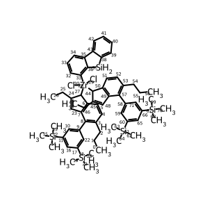 CCCc1ccc2c(c1-c1cc([Si](C)(C)C)cc([Si](C)(C)C)c1)C=C(CC)[CH]2[Zr]([Cl])([Cl])([c]1cccc2c1[SiH2]c1ccccc1-2)[CH]1C(CC)=Cc2c1ccc(CCC)c2-c1cc([Si](C)(C)C)cc([Si](C)(C)C)c1